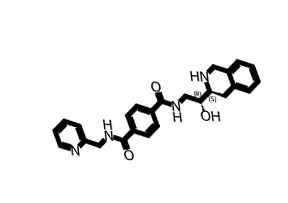 O=C(NCc1ccccn1)c1ccc(C(=O)NC[C@@H](O)[C@@H]2Cc3ccccc3CN2)cc1